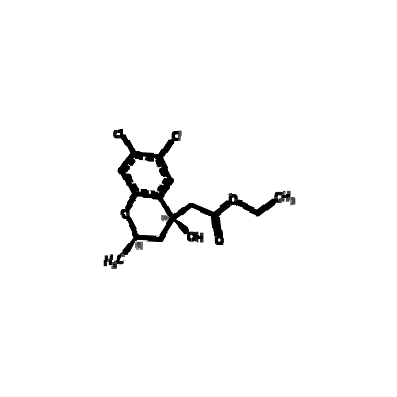 CCOC(=O)C[C@]1(O)C[C@@H](C)Oc2cc(Cl)c(Cl)cc21